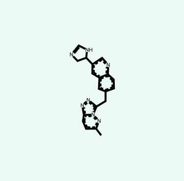 Cc1ccc2nnc(Cc3ccc4ncc(C5CN=CN5)cc4c3)n2n1